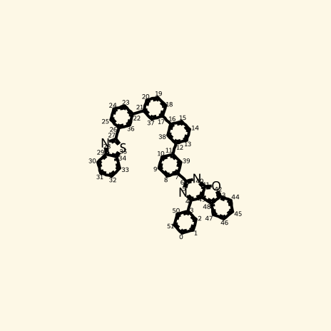 c1ccc(-c2nc(-c3cccc(-c4cccc(-c5cccc(-c6cccc(-c7nc8ccccc8s7)c6)c5)c4)c3)nc3oc4ccccc4c23)cc1